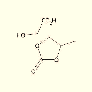 CC1COC(=O)O1.O=C(O)CO